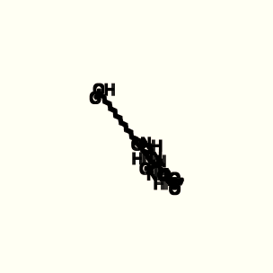 CCS(=O)(=O)Nc1ccc(-c2n[nH]c(Nc3ccnc(OCCCCCCCCCCCCCC(=O)O)c3)c2C(N)=O)cc1